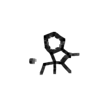 CCC1(C)C(C)=[N+](C)c2ccccc21.[Cl-]